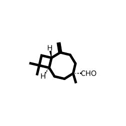 C=C1CC[C@](C)(C=O)CC[C@@H]2[C@@H]1CC2(C)C